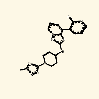 Cc1nsc(N2CCC(Nc3nc4c(-c5cccnc5F)cccn4n3)CC2)n1